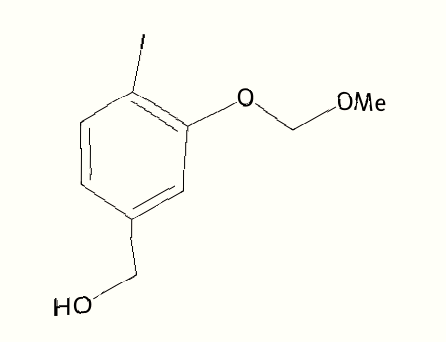 COCOc1cc(CO)ccc1I